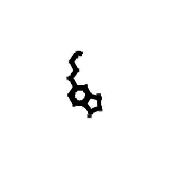 CC(C)CCOc1ccc2c(c1)OCO2